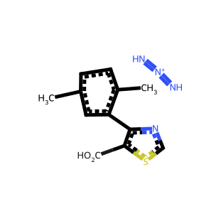 Cc1ccc(C)c(-c2ncsc2C(=O)O)c1.N=[N+]=N